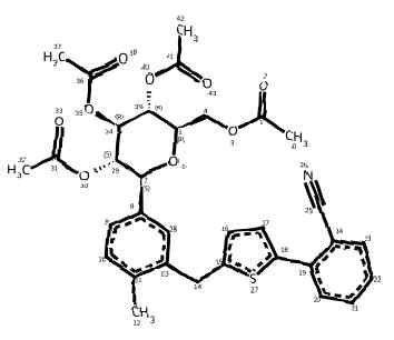 CC(=O)OC[C@H]1O[C@@H](c2ccc(C)c(Cc3ccc(-c4ccccc4C#N)s3)c2)[C@H](OC(C)=O)[C@@H](OC(C)=O)[C@@H]1OC(C)=O